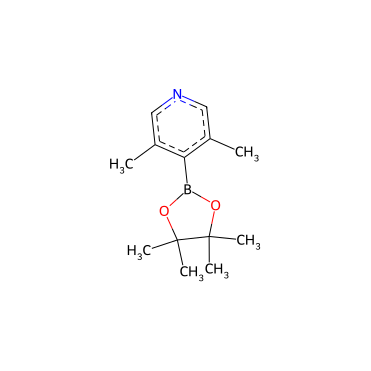 Cc1cncc(C)c1B1OC(C)(C)C(C)(C)O1